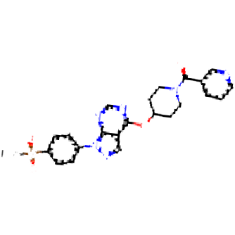 CS(=O)(=O)c1ccc(-n2ncc3c(OC4CCN(C(=O)c5cccnc5)CC4)ncnc32)cc1